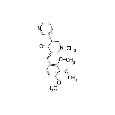 COc1ccc(C=C2CN(C)CC(c3cccnc3)C2=O)c(OC)c1OC